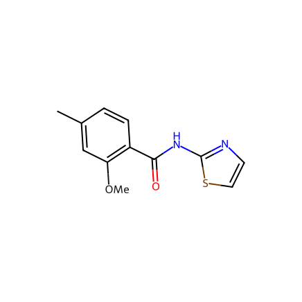 COc1cc(C)ccc1C(=O)Nc1nccs1